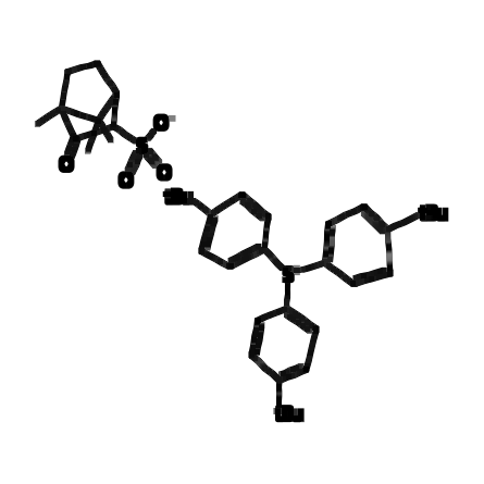 CC(C)(C)c1ccc([S+](c2ccc(C(C)(C)C)cc2)c2ccc(C(C)(C)C)cc2)cc1.CC12CCC(C(S(=O)(=O)[O-])C1=O)C2(C)C